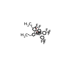 C=CCc1ccc(O)c(-c2cc(CC=C)ccc2OC[PH](c2ccc(C(F)(F)F)cc2)(c2ccc(C(F)(F)F)cc2)c2ccc(C(F)(F)F)cc2)c1